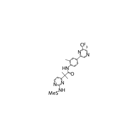 CSNc1nccc(C(C)(C)C(=O)Nc2ccc(-c3cncc(C(F)(F)F)n3)cc2C)n1